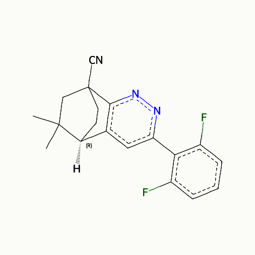 CC1(C)CC2(C#N)CC[C@H]1c1cc(-c3c(F)cccc3F)nnc12